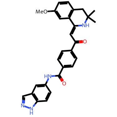 COc1ccc2c(c1)/C(=C/C(=O)c1ccc(C(=O)Nc3ccc4[nH]ncc4c3)cc1)NC(C)(C)C2